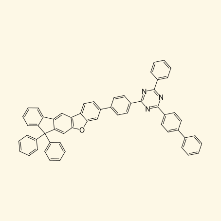 c1ccc(-c2ccc(-c3nc(-c4ccccc4)nc(-c4ccc(-c5ccc6c(c5)oc5cc7c(cc56)-c5ccccc5C7(c5ccccc5)c5ccccc5)cc4)n3)cc2)cc1